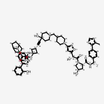 Cc1ncsc1-c1ccc([C@H](C)NC(=O)[C@@H]2C[C@@H](O)CN2C(=O)[C@@H](c2cc(N3CCC(CN4CCC(O)(C#C[C@H]5C[C@H](Oc6cc(N7C8CCC7CN(c7cc(-c9ccccc9O)nnc7N)C8)ccn6)C5)CC4)CC3)no2)C(C)C)cc1